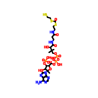 CC(C)(COP(=O)(O)OP(=O)(O)OCC1OC(C)(n2cnc3c(N)ncnc32)C(O)C1OP(=O)(O)O)C(O)C(=O)NCCC(=O)NCCSC(=O)SCCS